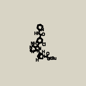 CC(C)(C)OC(=O)N1C[C@@H]2C[C@H]1[C@@H](n1nc(-c3ccc(C(=O)Nc4ccccn4)cc3Cl)c3c(N)ncnc31)C2